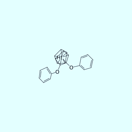 c1ccc(O[C]23[CH]4[CH]5[CH]6[C]2(Oc2ccccc2)[Hf]54632789[CH]3[CH]2[CH]7[CH]8[CH]39)cc1